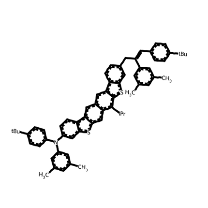 Cc1cc(C)cc(/C(=C\c2ccc(C(C)(C)C)cc2)Cc2ccc3c(c2)sc2c(C(C)C)c4cc5sc6cc(N(c7ccc(C(C)(C)C)cc7)c7cc(C)cc(C)c7)ccc6c5cc4cc23)c1